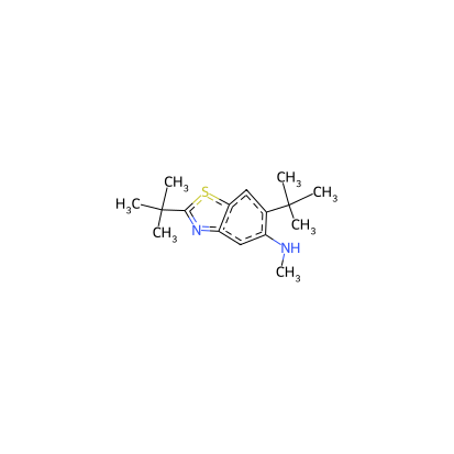 CNc1cc2nc(C(C)(C)C)sc2cc1C(C)(C)C